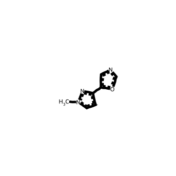 Cn1c[c]c(-c2cnco2)n1